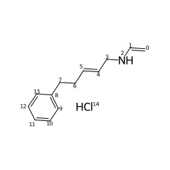 C=CNCC=CCCc1ccccc1.Cl